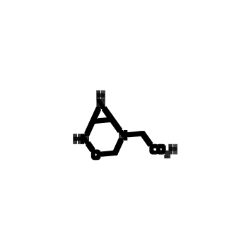 O=C(O)CN1CONC2NC21